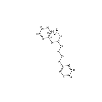 [CH2]CC(CCCCc1ccccc1)Cc1ccccc1